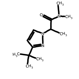 CC(C(=O)N(C)C)n1ccc(C(C)(C)C)n1